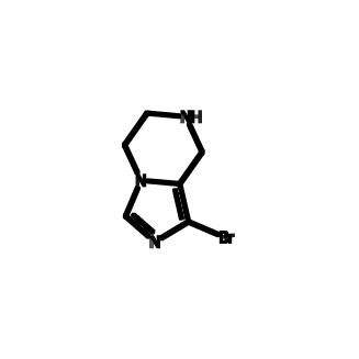 Brc1ncn2c1CNCC2